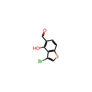 O=Cc1ccc2scc(Br)c2c1O